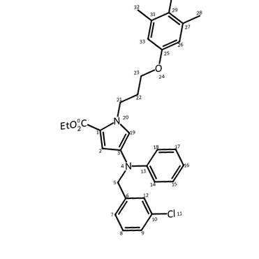 CCOC(=O)c1cc(N(Cc2cccc(Cl)c2)c2ccccc2)cn1CCCOc1cc(C)c(Cl)c(C)c1